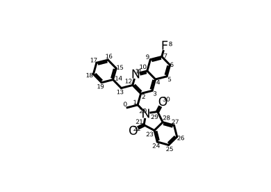 CC(c1cc2ccc(F)cc2nc1Cc1ccccc1)N1C(=O)c2ccccc2C1=O